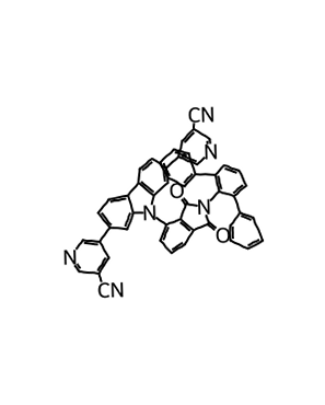 N#Cc1cncc(-c2ccc3c4ccc(-c5cncc(C#N)c5)cc4n(-c4cccc5c4C(=O)N(c4c(-c6ccccc6)cccc4-c4ccccc4)C5=O)c3c2)c1